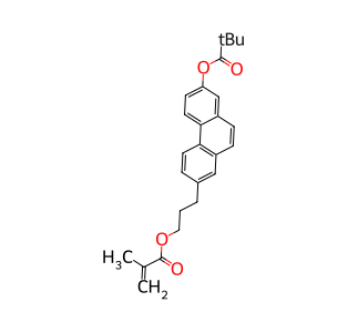 C=C(C)C(=O)OCCCc1ccc2c(ccc3cc(OC(=O)C(C)(C)C)ccc32)c1